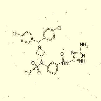 CS(=O)(=O)N(c1cccc(C(=O)Nc2nc(N)n[nH]2)c1)C1CN(C(c2ccc(Cl)cc2)c2ccc(Cl)cc2)C1